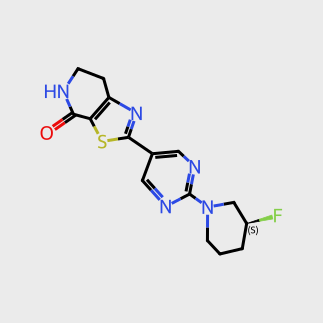 O=C1NCCc2nc(-c3cnc(N4CCC[C@H](F)C4)nc3)sc21